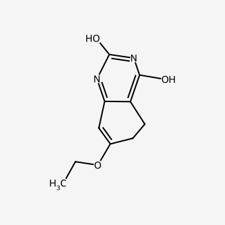 CCOC1=Cc2nc(O)nc(O)c2CC1